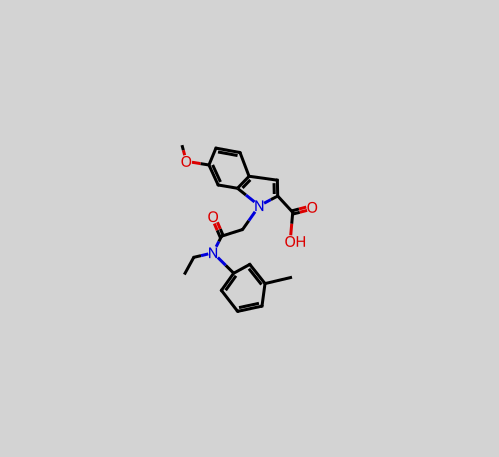 CCN(C(=O)Cn1c(C(=O)O)cc2ccc(OC)cc21)c1cccc(C)c1